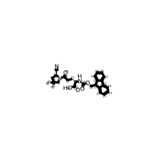 N#C[C@@H]1CC(F)(F)CN1C(=O)CC[C@H](NC(=O)OCC1c2ccccc2-c2ccccc21)C(=O)O